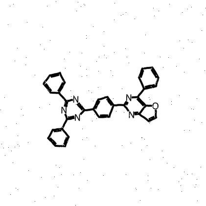 c1ccc(-c2nc(-c3ccccc3)nc(-c3ccc(-c4nc(-c5ccccc5)c5occc5n4)cc3)n2)cc1